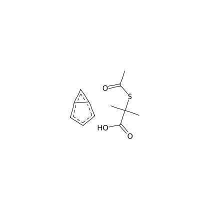 CC(=O)SC(C)(C)C(=O)O.c1cc2cc-2c1